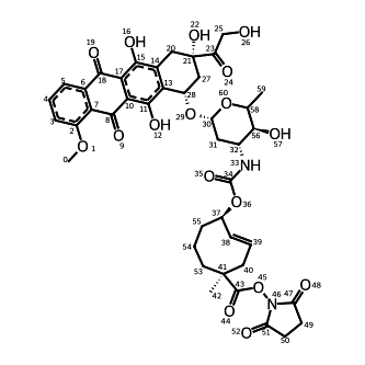 COc1cccc2c1C(=O)c1c(O)c3c(c(O)c1C2=O)C[C@@](O)(C(=O)CO)C[C@@H]3O[C@H]1C[C@@H](NC(=O)O[C@H]2/C=C/C[C@@](C)(C(=O)ON3C(=O)CCC3=O)CCC2)[C@H](O)C(C)O1